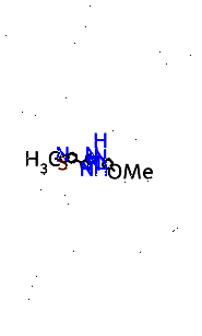 COC1CCC(Nc2ncc3c(-c4ccc5nc(C)sc5c4)c[nH]c3n2)CC1